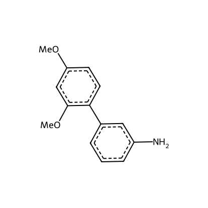 COc1ccc(-c2cccc(N)c2)c(OC)c1